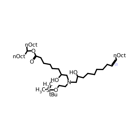 CCCCCCCC/C=C\CCCCCCC(O)CN(CCO[Si](C)(C)C(C)(C)C)CC(O)CCCCCC(=O)OC(CCCCCCCC)CCCCCCCC